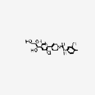 Cc1ccc(NC(=O)N2CC=C(c3ncc([C@H](O)[C@@H](O)CO)cc3Cl)CC2)cc1Cl